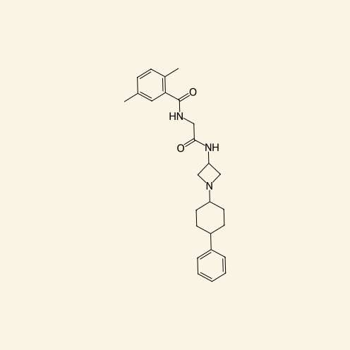 Cc1ccc(C)c(C(=O)NCC(=O)NC2CN(C3CCC(c4ccccc4)CC3)C2)c1